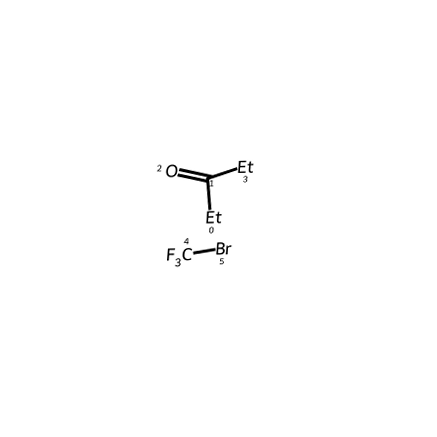 CCC(=O)CC.FC(F)(F)Br